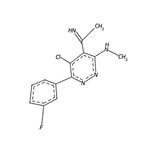 CNc1nnc(-c2cccc(F)c2)c(Cl)c1C(C)=N